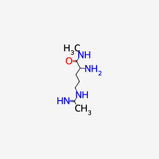 CNC(=O)C(N)CCCNC(C)=N